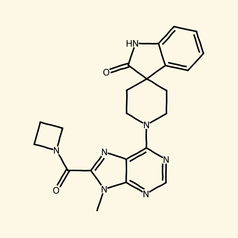 Cn1c(C(=O)N2CCC2)nc2c(N3CCC4(CC3)C(=O)Nc3ccccc34)ncnc21